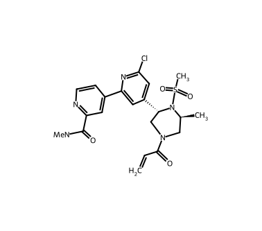 C=CC(=O)N1C[C@H](c2cc(Cl)nc(-c3ccnc(C(=O)NC)c3)c2)N(S(C)(=O)=O)[C@@H](C)C1